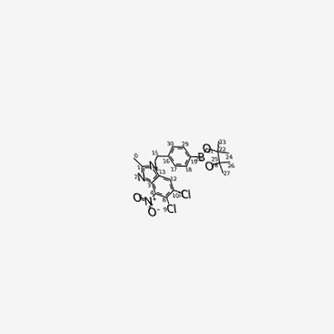 Cc1nc2c([N+](=O)[O-])c(Cl)c(Cl)cc2n1Cc1ccc(B2OC(C)(C)C(C)(C)O2)cc1